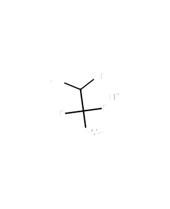 COC(F)(F)C(C(F)(F)F)C(F)(F)F.F